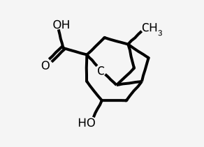 CC12CC3CC(O)CC(C(=O)O)(CC3C1)C2